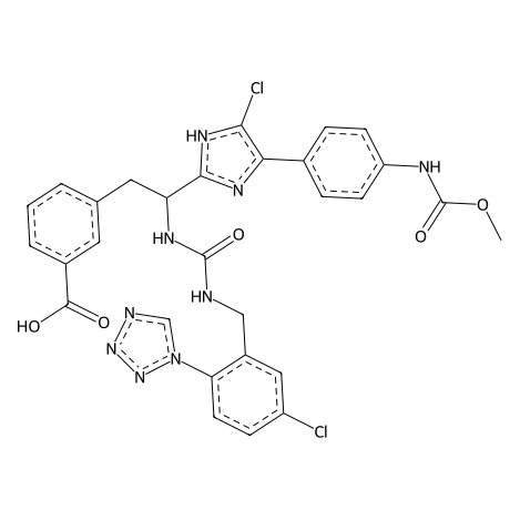 COC(=O)Nc1ccc(-c2nc(C(Cc3cccc(C(=O)O)c3)NC(=O)NCc3cc(Cl)ccc3-n3cnnn3)[nH]c2Cl)cc1